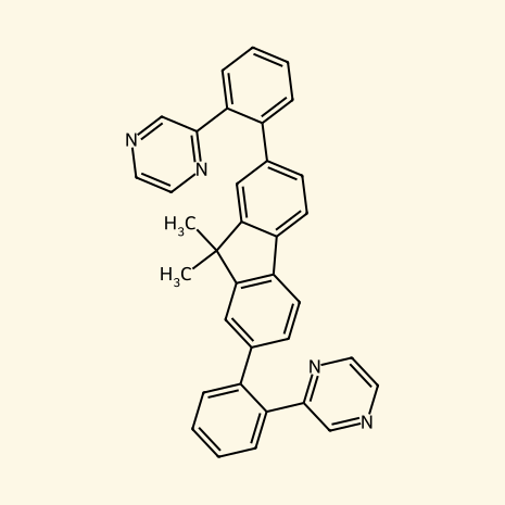 CC1(C)c2cc(-c3ccccc3-c3cnccn3)ccc2-c2ccc(-c3ccccc3-c3cnccn3)cc21